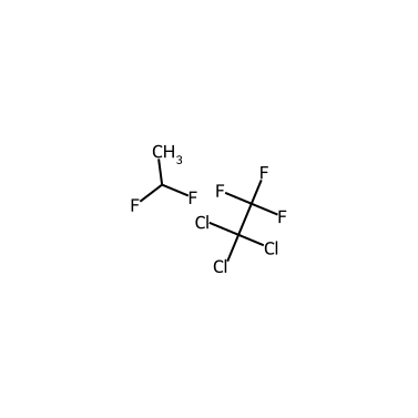 CC(F)F.FC(F)(F)C(Cl)(Cl)Cl